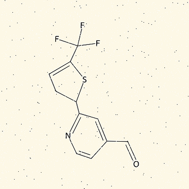 O=Cc1ccnc(C2CC=C(C(F)(F)F)S2)c1